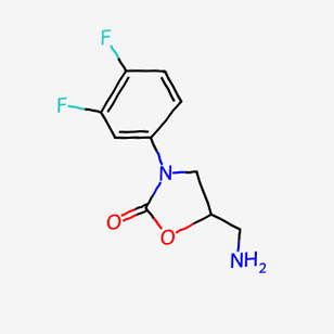 NCC1CN(c2ccc(F)c(F)c2)C(=O)O1